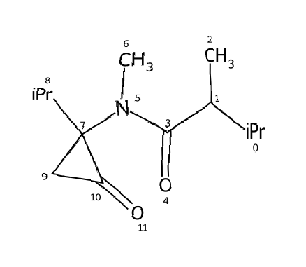 CC(C)C(C)C(=O)N(C)C1(C(C)C)CC1=O